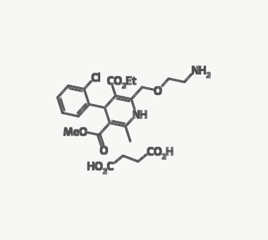 CCOC(=O)C1=C(COCCN)NC(C)=C(C(=O)OC)C1c1ccccc1Cl.O=C(O)CCC(=O)O